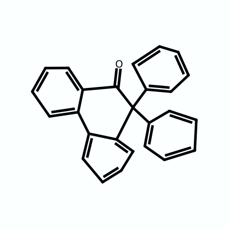 O=C1c2ccccc2-c2ccccc2C1(c1ccccc1)c1ccccc1